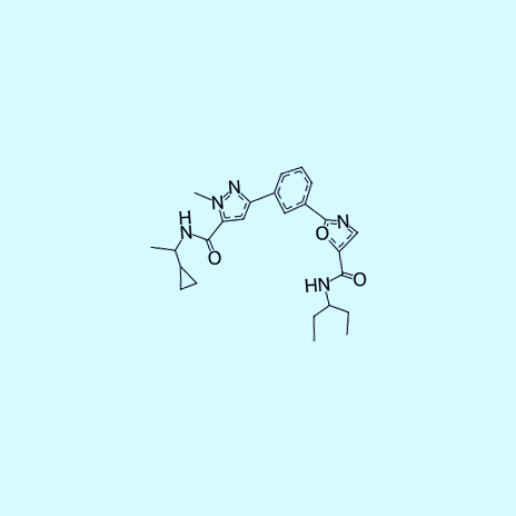 CCC(CC)NC(=O)c1cnc(-c2cccc(-c3cc(C(=O)NC(C)C4CC4)n(C)n3)c2)o1